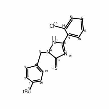 CC(C)(C)c1ccc(Cn2[nH]c(-c3ccccc3Cl)nc2=S)cc1